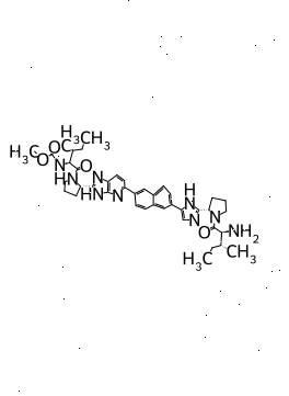 CC[C@@H](C)[C@H](N)C(=O)N1CCC[C@H]1c1ncc(-c2ccc3cc(-c4ccc5nc([C@@H]6CCCN6C(=O)[C@@H](NC(=O)OC)[C@H](C)CC)[nH]c5n4)ccc3c2)[nH]1